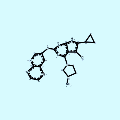 N[C@@H]1CCN(c2nc(Sc3cnc4nccnc4c3)nc3[nH]c(C4CC4)c(Cl)c23)C1